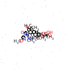 CNCCn1c([C@@]23CC[C@]4(C)[C@H](CC[C@@H]5[C@@]6(C)CC[C@H](OC(=O)CC(C)(C)C(=O)O)C(C)(C)[C@@H]6CC[C@]54C)C2=C(C(C)C)C(=O)C3)cc(=O)n1-c1ccc(OC)nc1